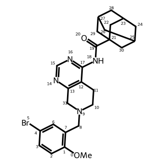 COc1ccc(Br)cc1CN1CCc2c(ncnc2NC(=O)C23CC4CC(CC(C4)C2)C3)C1